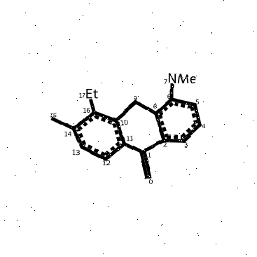 C=C1c2cccc(NC)c2Cc2c1ccc(C)c2CC